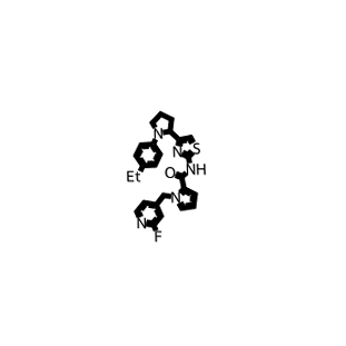 CCc1ccc(N2CCCC2c2csc(NC(=O)c3cccn3Cc3ccnc(F)c3)n2)cc1